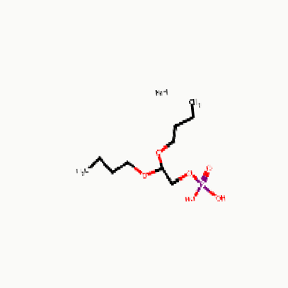 CCCCOC(COP(=O)(O)O)OCCCC.[NaH]